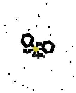 CS(C)(C)(C)(c1ccccc1)c1ccccc1